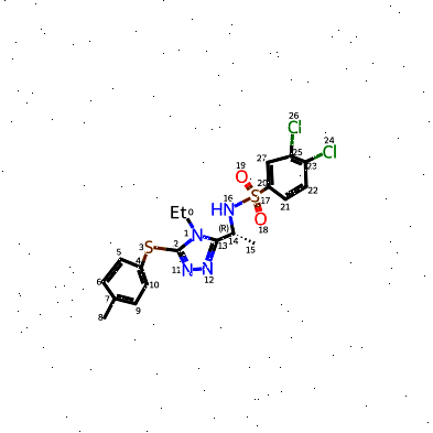 CCn1c(Sc2ccc(C)cc2)nnc1[C@@H](C)NS(=O)(=O)c1ccc(Cl)c(Cl)c1